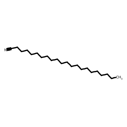 CCCCCCCCCCCCCCCCCCCCCC#N